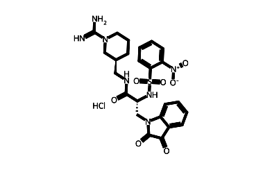 Cl.N=C(N)N1CCC[C@@H](CNC(=O)[C@@H](CN2C(=O)C(=O)c3ccccc32)NS(=O)(=O)c2ccccc2[N+](=O)[O-])C1